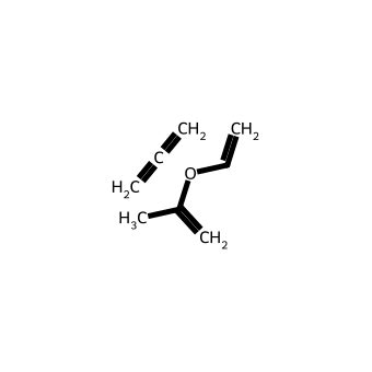 C=C=C.C=COC(=C)C